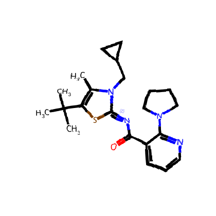 Cc1c(C(C)(C)C)s/c(=N\C(=O)c2cccnc2N2CCCC2)n1CC1CC1